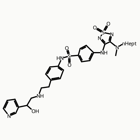 CCCCCCCN(C)C1=NS(=O)(=O)N=C1Nc1ccc(S(=O)(=O)Nc2ccc(CCNCC(O)c3cccnc3)cc2)cc1